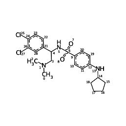 CN(C)CC(NS(=O)(=O)c1ccc(NC2CCCC2)cc1)c1ccc(Cl)c(Cl)c1